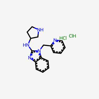 Cl.Cl.c1ccc(Cn2c(NC3CCNC3)nc3ccccc32)nc1